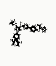 C[C@@H](Cn1cncn1)Oc1cc(-c2cnc(Nc3cn(C4CCC(N5[C@@H]6CC[C@H]5COC6)CC4)nc3OCC(C)(C)O)nc2)ccc1Cl